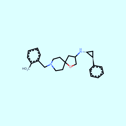 O=C(O)c1ccccc1CN1CCC2(CC1)CC(N[C@@H]1C[C@H]1c1ccccc1)CO2